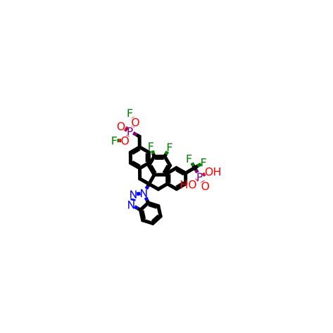 O=P(Cc1ccc(CC(Cc2ccc(C(F)(F)P(=O)(O)O)cc2)(c2ccc(F)c(F)c2)n2nnc3ccccc32)cc1)(OF)OF